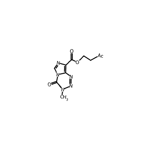 CC(=O)CCOC(=O)c1ncn2c(=O)n(C)nnc12